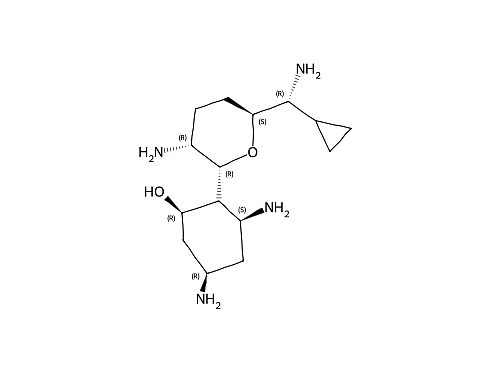 N[C@H]1C[C@@H](O)C([C@H]2O[C@H]([C@H](N)C3CC3)CC[C@H]2N)[C@@H](N)C1